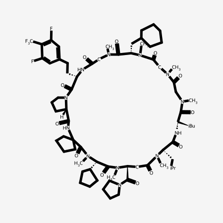 CC[C@H](C)[C@@H]1NC(=O)[C@H](CC(C)C)N(C)C(=O)C[C@@H](C(=O)N2CCCC2)N(C)C(=O)[C@H](C2CCCC2)N(C)C(=O)C2(CCCC2)NC(=O)[C@@H]2CCCN2C(=O)[C@H](CCc2cc(F)c(C(F)(F)F)c(F)c2)NC(=O)CN(C)C(=O)[C@H](CC2CCCCC2)N(C)C(=O)CN(C)C(=O)CN(C)C1=O